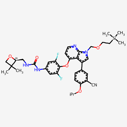 CC(C)Oc1ccc(-c2cn(COCC[Si](C)(C)C)c3nccc(Oc4c(F)cc(NC(=O)NC[C@@H]5OCC5(C)C)cc4F)c23)cc1C#N